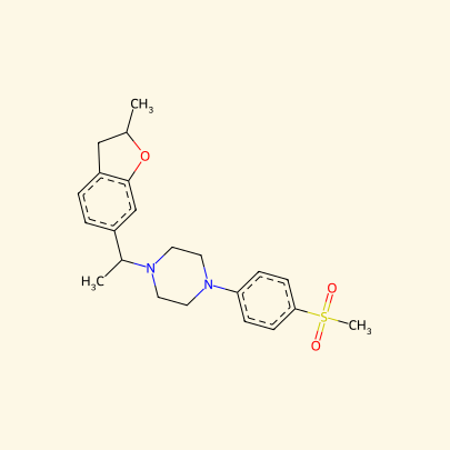 CC1Cc2ccc(C(C)N3CCN(c4ccc(S(C)(=O)=O)cc4)CC3)cc2O1